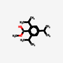 COB(O)c1c(C(C)C)cc(C(C)C)cc1C(C)C